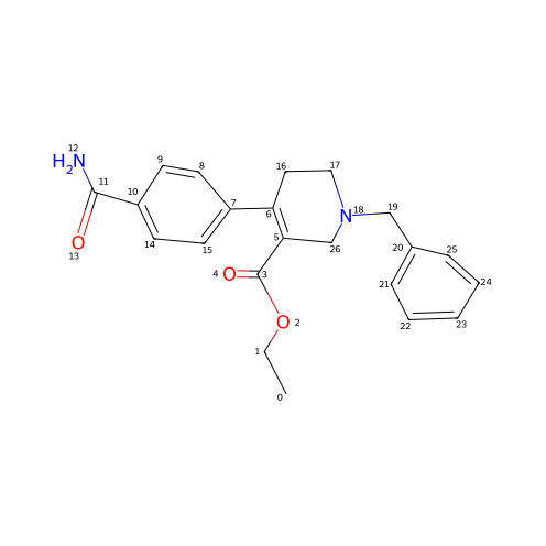 CCOC(=O)C1=C(c2ccc(C(N)=O)cc2)CCN(Cc2ccccc2)C1